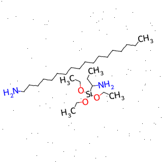 CCCCCCCCCCCCCCCCCCN.CCO[Si](OCC)(OCC)C(N)CC